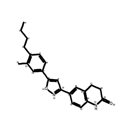 CCCCc1ccc(-c2cc(-c3ccc4c(c3)CCC(=O)N4)no2)cc1C